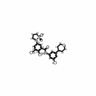 O=C(Nc1cc(Cl)cc(C2CCOCC2)c1)c1cc(N2CCCS2(=O)=O)cc(Cl)c1Cl